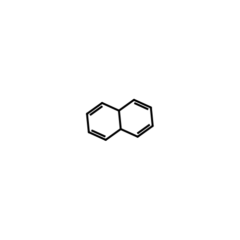 C1=CC2C=CC=CC2C=C1